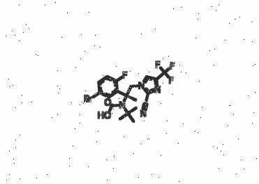 CC(C)(C)N(C(=O)O)[C@@](C)(Cn1cc(C(F)(F)F)nc1C#N)c1cc(Br)ccc1F